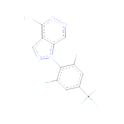 Oc1nncc2c1cnn2-c1c(Cl)cc(C(F)(F)F)cc1Cl